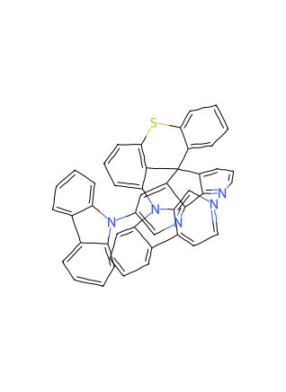 c1ccc2c(c1)Sc1cccc(-n3c4ccccc4c4ccncc43)c1C21c2cccnc2-c2ncc(-n3c4ccccc4c4ccccc43)cc21